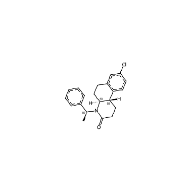 C[C@@H](c1ccccc1)N1C(=O)CC[C@H]2c3ccc(Cl)cc3CC[C@@H]21